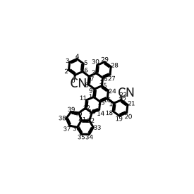 N#Cc1ccccc1-c1cc2c3cc4c(cc3c(-c3ccccc3C#N)cc2c2ccccc12)-c1cccc2cccc-4c12